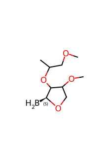 B[C@@H]1OCC(OC)C1OC(C)COC